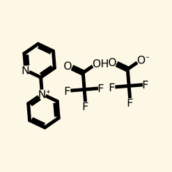 O=C(O)C(F)(F)F.O=C([O-])C(F)(F)F.c1cc[n+](-c2ccccn2)cc1